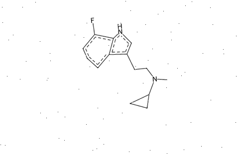 CN(CCc1c[nH]c2c(F)cccc12)C1CC1